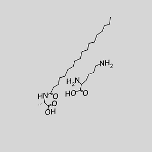 CCCCCCCCCCCCCCCCCC(=O)N[C@@H](C)C(=O)O.NCCCCC(N)C(=O)O